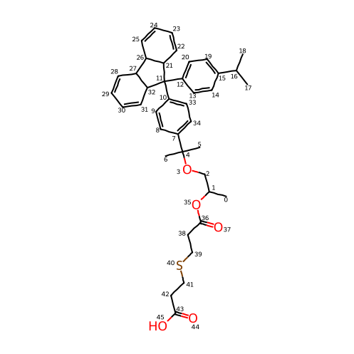 CC(COC(C)(C)c1ccc(C2(c3ccc(C(C)C)cc3)C3C=CC=CC3C3C=CC=CC32)cc1)OC(=O)CCSCCC(=O)O